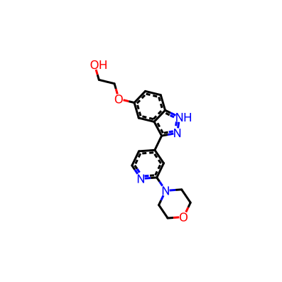 OCCOc1ccc2[nH]nc(-c3ccnc(N4CCOCC4)c3)c2c1